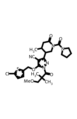 COCC(C)(C)C(=O)n1nc(C2CN(C(=O)N3CCCC3)C(=O)CC2C)c(C#N)c1OCc1ccc(Cl)s1